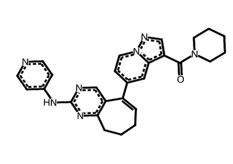 O=C(c1cnn2ccc(C3=CCCCc4nc(Nc5ccncc5)ncc43)cc12)N1CCCCC1